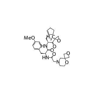 COc1ccc(C[C@H](NC(=O)CN2CCOC3(COC3)C2)C(=O)N[C@@H](CC2=CCCC2)C(=O)[C@@]2(C)CO2)cc1